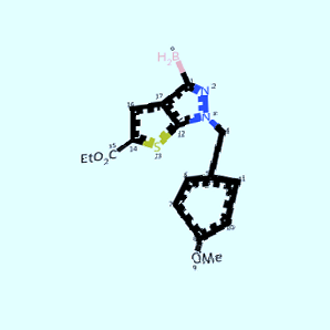 Bc1nn(Cc2ccc(OC)cc2)c2sc(C(=O)OCC)cc12